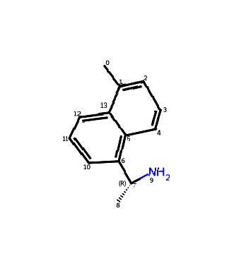 Cc1cccc2c([C@@H](C)N)cccc12